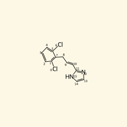 Clc1cccc(Cl)c1CC=Cc1ncc[nH]1